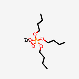 CCCCOP1(OCCCC)(OCCCC)OO1.[Zn]